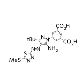 CSc1nnc(/N=N/c2c(C(C)(C)C)nn(-c3cc(C(=O)O)cc(C(=O)O)c3)c2N)s1